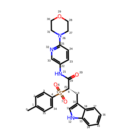 Cc1ccc(S(=O)(=O)[C@@H](Cc2c[nH]c3ccccc23)C(=O)Nc2ccc(N3CCOCC3)nc2)cc1